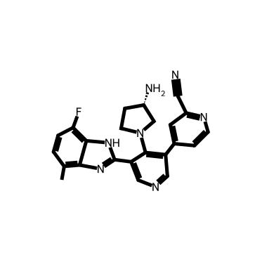 Cc1ccc(F)c2[nH]c(-c3cncc(-c4ccnc(C#N)c4)c3N3CC[C@H](N)C3)nc12